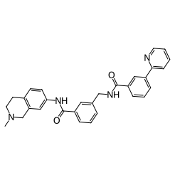 CN1CCc2ccc(NC(=O)c3cccc(CNC(=O)c4cccc(-c5ccccn5)c4)c3)cc2C1